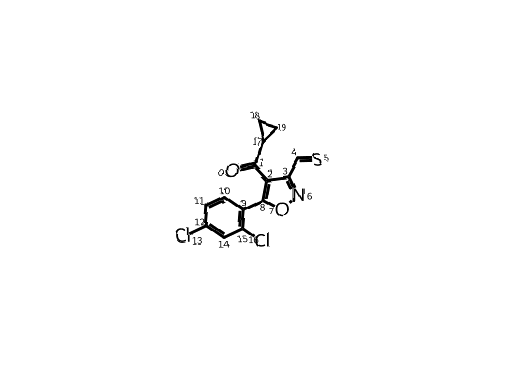 O=C(c1c(C=S)noc1-c1ccc(Cl)cc1Cl)C1CC1